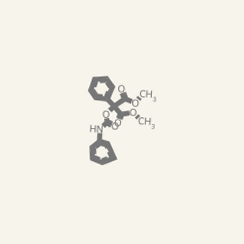 COC(=O)C(OC(=O)Nc1ccccc1)(C(=O)OC)c1ccccc1